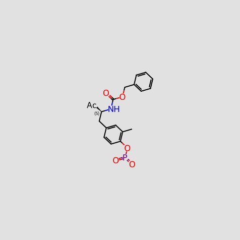 CC(=O)[C@H](Cc1ccc(OP(=O)=O)c(C)c1)NC(=O)OCc1ccccc1